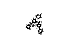 CN1CCN(c2ccc(-c3nc4ccccc4[nH]3)cc2Nc2ccc(-c3cnccn3)cc2)CC1